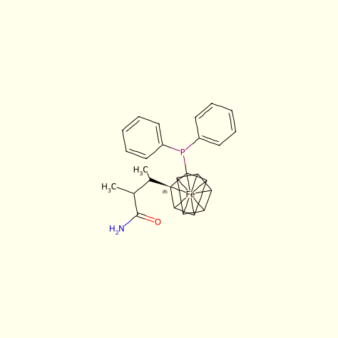 CC(C(N)=O)C(C)[C@@]12[CH]3[CH]4[CH]5[C]1(P(c1ccccc1)c1ccccc1)[Fe]45321678[CH]2[CH]1[CH]6[CH]7[CH]28